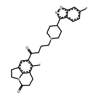 O=C(CCCN1CCC(c2noc3cc(F)ccc23)CC1)c1cc2c3c(c1F)CCC(=O)N3CC2